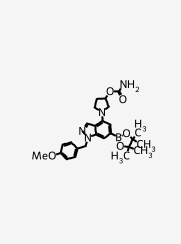 COc1ccc(Cn2ncc3c(N4CCC(OC(N)=O)C4)cc(B4OC(C)(C)C(C)(C)O4)cc32)cc1